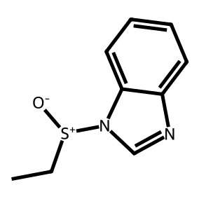 CC[S+]([O-])n1cnc2ccccc21